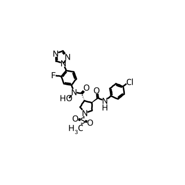 CS(=O)(=O)N1C[C@H](C(=O)Nc2ccc(Cl)cc2)[C@@H](C(=O)N(O)c2ccc(-n3cncn3)c(F)c2)C1